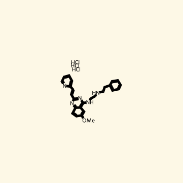 COc1ccc2nc(C=Cc3ccccn3)nc(NCCNCCc3ccccc3)c2c1.Cl.Cl.Cl